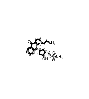 C=CCn1ccc(C(=O)c2cncnc2N[C@@H]2C[C@H](COS(N)(=O)=O)[C@@H](O)C2)c1